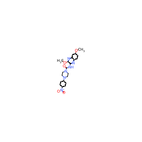 COc1ccc2nc(NC(=O)N3CCN(c4ccc([N+](=O)[O-])cc4)CC3)c(OC)nc2c1